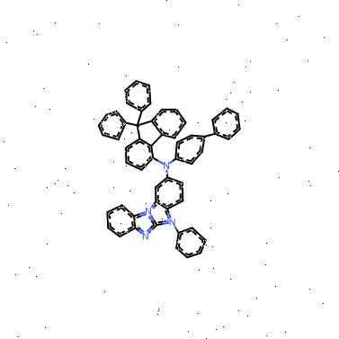 c1ccc(-c2ccc(N(c3ccc4c(c3)n3c5ccccc5nc3n4-c3ccccc3)c3cccc4c3-c3ccccc3C4(c3ccccc3)c3ccccc3)cc2)cc1